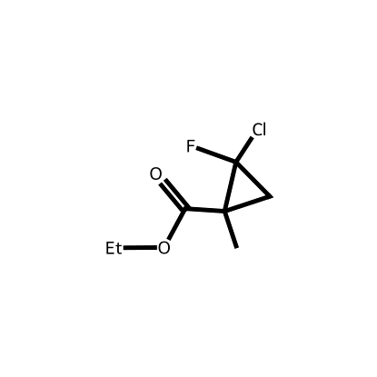 CCOC(=O)C1(C)CC1(F)Cl